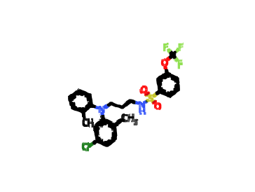 Cc1ccccc1N(CCCNS(=O)(=O)c1cccc(OC(F)(F)F)c1)c1cc(Cl)ccc1C